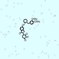 COc1ccc(CN2CCCC[C@H]2COc2ccc3c(c2)CN(C2CCC(=O)NC2=O)C3=O)cc1OC